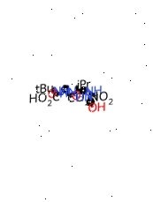 CC(C)CC(C(=O)NC(Cc1ccccc1CC(NC(=O)CC(C)(C)C)C(=O)O)C(=O)O)c1ccc(NC(=C[N+](=O)[O-])Nc2ccc(O)cc2)cc1